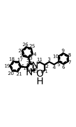 OCC(CCc1ccccc1)Cn1cnc(-c2ccccc2)c1-c1ccccc1